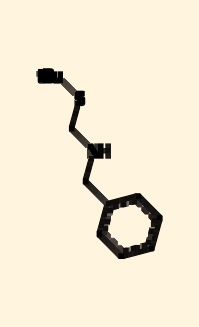 CC(C)(C)SCNCc1ccccc1